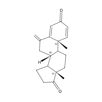 C=C1C[C@@H]2C(CC[C@]3(C)C(=O)CCC23)[C@@]2(C)C=CC(=O)C=C12